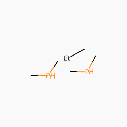 CCC.CPC.CPC